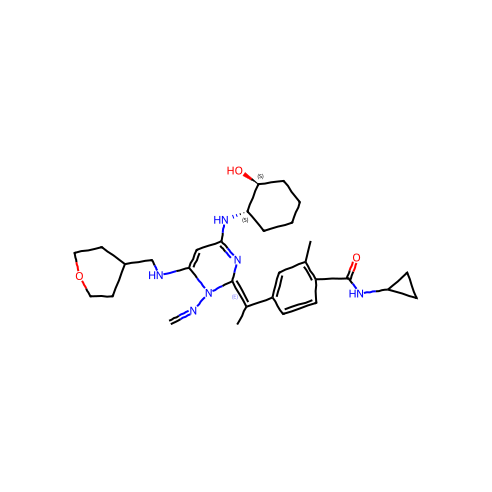 C=NN1C(NCC2CCOCC2)=CC(N[C@H]2CCCC[C@@H]2O)=N/C1=C(/C)c1ccc(C(=O)NC2CC2)c(C)c1